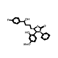 COc1ccc(C2[C@@H](CCCC(O)c3ccc(F)cc3)SC(=O)N2c2ccccc2)c(O)c1